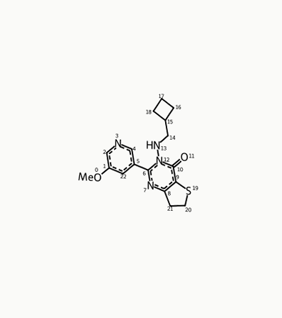 COc1cncc(-c2nc3c(c(=O)n2NCC2CCC2)SCC3)c1